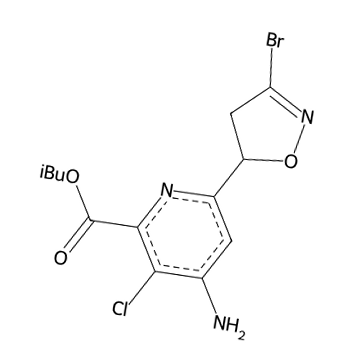 CC(C)COC(=O)c1nc(C2CC(Br)=NO2)cc(N)c1Cl